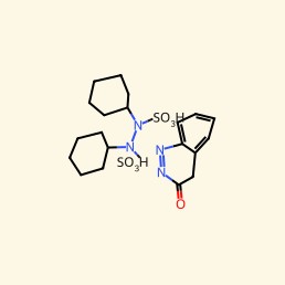 O=C1Cc2ccccc2N=N1.O=S(=O)(O)N(C1CCCCC1)N(C1CCCCC1)S(=O)(=O)O